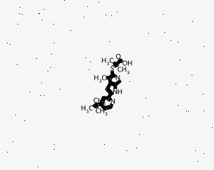 Cc1c(SC(C)(C)C(=O)O)ncc2[nH]c(-c3cc(C(C)(C)C)ccn3)cc12